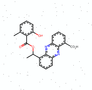 Cc1cccc(O)c1C(=O)OC(C)c1cccc2nc3c(C(=O)O)cccc3nc12